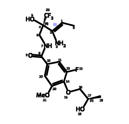 C/C=C(\N)[C@](O)(CNC(=O)c1cc(F)c(OC[C@@H](C)O)c(OC)c1)C(F)(F)F